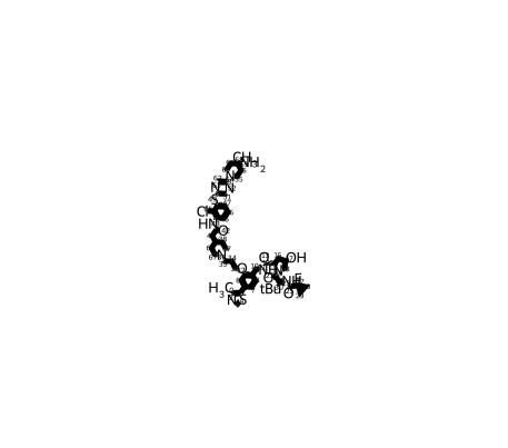 Cc1ncsc1-c1ccc(CNC(=O)[C@@H]2C[C@@H](O)CN2C(=O)[C@@H](NC(=O)C2(F)CC2)C(C)(C)C)c(OCCCN2CCC(CC(=O)Nc3cccc(Sc4cnc(N5CCC(C)(N)CC5)cn4)c3Cl)CC2)c1